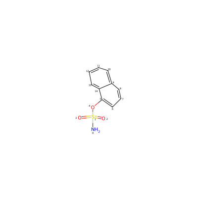 NS(=O)(=O)Oc1cccc2ccccc12